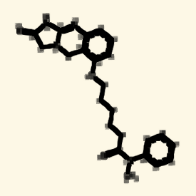 CN(C(=O)CCCCCOc1cccc2c1CN1CC(=O)NC1=N2)c1ccccc1